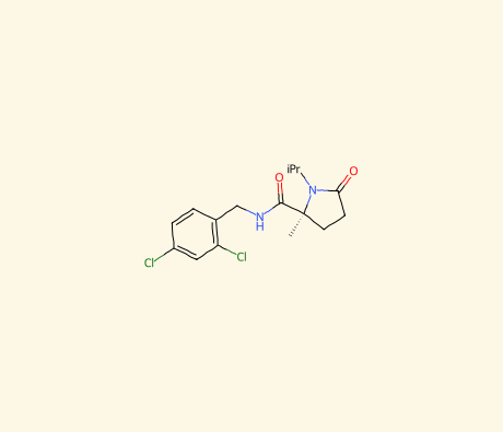 CC(C)N1C(=O)CC[C@@]1(C)C(=O)NCc1ccc(Cl)cc1Cl